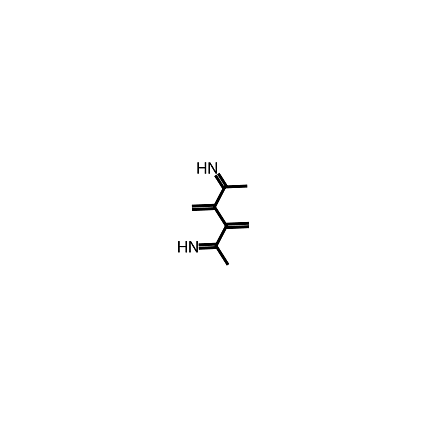 C=C(C(=C)C(C)=N)C(C)=N